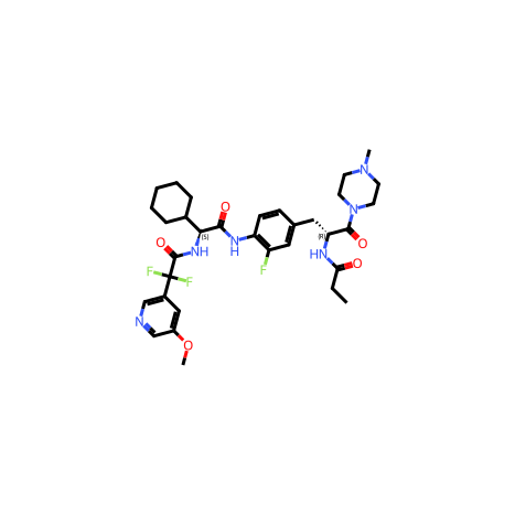 CCC(=O)N[C@H](Cc1ccc(NC(=O)[C@@H](NC(=O)C(F)(F)c2cncc(OC)c2)C2CCCCC2)c(F)c1)C(=O)N1CCN(C)CC1